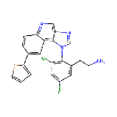 NCCc1cc(Cl)cc(Cl)c1-n1cnc2cnc3ccc(-c4cccs4)cc3c21